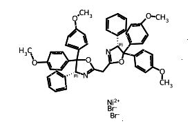 COc1ccc(C2(c3ccc(OC)cc3)OC(CC3=N[C@H](c4ccccc4)C(c4ccc(OC)cc4)(c4ccc(OC)cc4)O3)=N[C@@H]2c2ccccc2)cc1.[Br-].[Br-].[Ni+2]